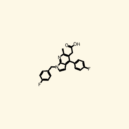 Cc1nc2c(ccn2Cc2ccc(F)cc2)c(-c2ccc(F)cc2)c1CC(=O)O